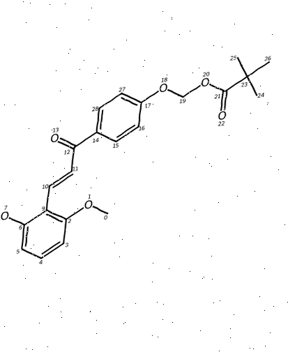 COc1cccc(OC)c1C=CC(=O)c1ccc(OCOC(=O)C(C)(C)C)cc1